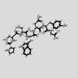 O=C(O)CNC(=O)[C@H](Cc1ccc(O)cc1)NC(=O)[C@H](CC(=O)O)NC(=O)[C@H](Cc1c[nH]c2ccccc12)NC(=O)[C@H](CO)NC(=O)[C@H](CO)NC(=O)[C@@H]1CCCN1